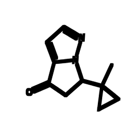 CC1(C2CC(=O)c3ccnn32)CC1